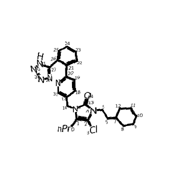 CCCc1c(Cl)n(CCC2CCCCC2)c(=O)n1Cc1ccc(-c2ccccc2-c2nnn[nH]2)nc1